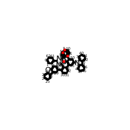 c1ccc(-c2nc(-c3ccccc3)nc(-c3c(-c4ccc5oc6ccccc6c5c4)cccc3-c3cc(-n4c5ccccc5c5ccccc54)cc4c3oc3ccccc34)n2)cc1